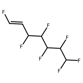 FC=CC(F)C(F)C(F)C(F)C(F)F